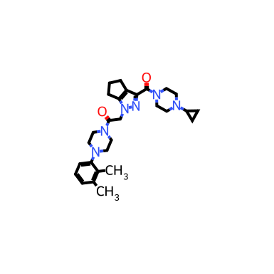 Cc1cccc(N2CCN(C(=O)Cn3nc(C(=O)N4CCN(C5CC5)CC4)c4c3CCC4)CC2)c1C